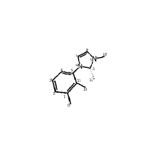 Cc1cccc(N2C=CN(C)[C@@H]2C)c1C